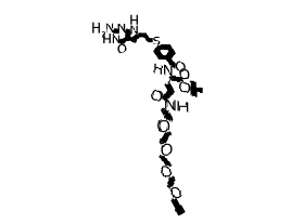 C#CCOCCOCCOCCOCCNC(=O)CC[C@H](NC(=O)c1ccc(SCCc2cc3c(=O)[nH]c(N)nc3[nH]2)cc1)C(=O)OC(C)(C)C